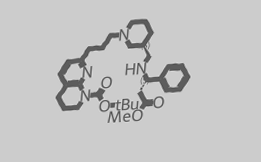 COC(=O)C[C@H](NC[C@@H]1CCCN(CCCc2ccc3c(n2)N(C(=O)OC(C)(C)C)CCC3)C1)c1ccccc1